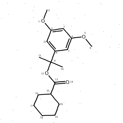 COc1cc(OC)cc(C(C)(C)OC(=O)[C]2CCCCC2)c1